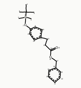 CC(C)(C)[Si](C)(C)Oc1ccc(CCC(=O)OCc2ccccc2)cc1